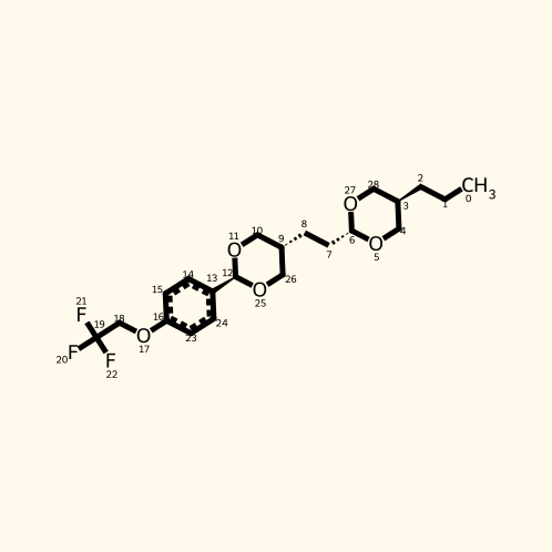 CCC[C@H]1CO[C@H](CC[C@H]2CO[C@H](c3ccc(OCC(F)(F)F)cc3)OC2)OC1